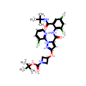 CC(C)(C)NC(=O)c1cc(Cl)cc(Cl)c1NC(=O)c1cc(OC2CN(C(=O)OC(C)(C)C)C2)nn1-c1ncccc1Cl